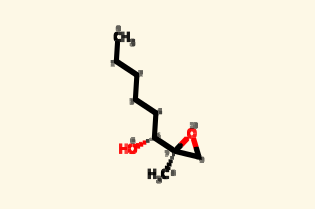 CCCCC[C@@H](O)[C@]1(C)CO1